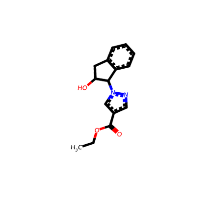 CCOC(=O)c1cnn(C2c3ccccc3CC2O)c1